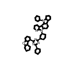 c1ccc(-c2nc(-c3cccc(-n4c5ccc6c7ccccc7n(-c7ccccc7)c6c5c5cccnc54)c3)nc(-c3cccc4oc5ccccc5c34)n2)cc1